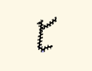 CCCCC/C=C\C/C=C\CCCCCCCCOCC(CCN(C)C)OCCCCCCCCC